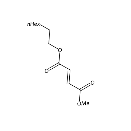 CCCCCCCCOC(=O)C=CC(=O)OC